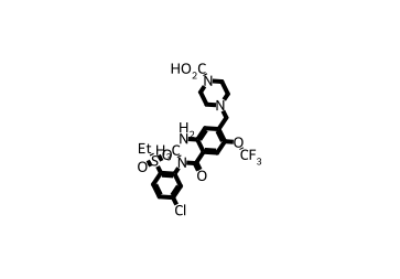 CCS(=O)(=O)c1ccc(Cl)cc1N(C)C(=O)c1cc(OC(F)(F)F)c(CN2CCN(C(=O)O)CC2)cc1N